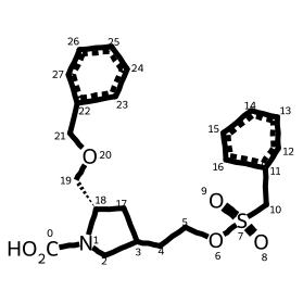 O=C(O)N1CC(CCOS(=O)(=O)Cc2ccccc2)C[C@H]1COCc1ccccc1